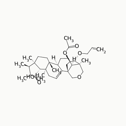 C=CCO[C@H]1[C@H](OC(C)=O)C[C@]23COC[C@@]1(C)[C@@H]2CC[C@H]1C3=CC[C@@]2(C)[C@H](C(=O)O)[C@@](C)([C@H](C)C(C)C)CC[C@]12C